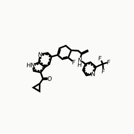 C=C(CC1CC=C(c2cnc3[nH]cc(C(=O)C4CC4)c3c2)C=C1F)Nc1ccnc(C(F)(F)F)c1